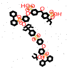 CCC(C)(CC)Oc1ccc(Oc2ccc(S(=O)(=O)c3ccc(C(CC)(CC)C(C)(CC)Oc4ccc(Oc5ccc(C(=O)c6ccc(C(C)(C)CC)c(S(=O)(=O)O)c6)cc5S(=O)(=O)O)cc4P4(=O)Oc5ccccc5-c5ccccc54)cc3)cc2)cc1P1(=O)Oc2ccccc2-c2ccccc21